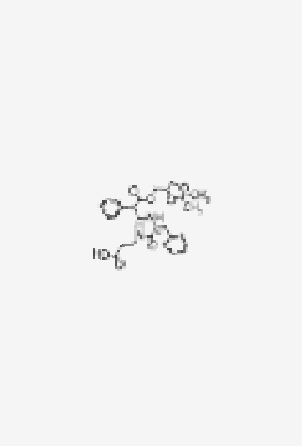 CC1(C)OCC(COC(=O)C(CN[C@@H](Cc2ccccc2)C(=O)NCCC(=O)O)c2ccccc2)O1